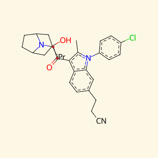 Cc1c(C(=O)CN2C3CCC2CC(O)(C(C)C)C3)c2ccc(CCC#N)cc2n1-c1ccc(Cl)cc1